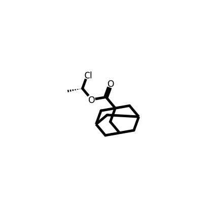 C[C@H](Cl)OC(=O)C12CC3CC(CC(C3)C1)C2